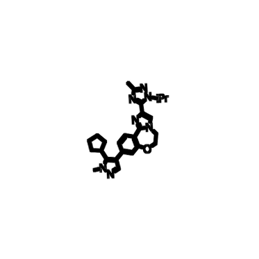 Cc1nc(-c2cn3c(n2)-c2ccc(-c4cnn(C)c4C4CCCC4)cc2OCC3)n(C(C)C)n1